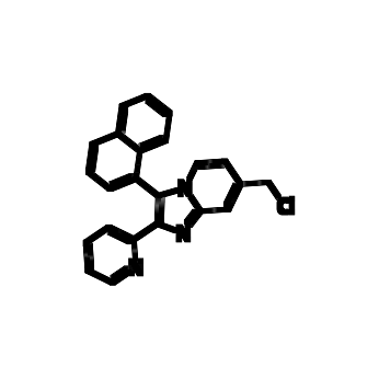 ClCc1ccn2c(-c3cccc4ccccc34)c(-c3ccccn3)nc2c1